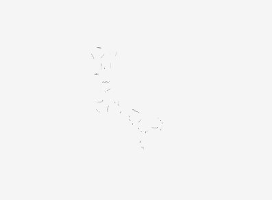 Cc1noc([C@H]2C[C@@H](O)CN2c2cccc(C(=O)N3CCc4cc(C(=O)Nc5c(C)cccc5F)sc4-c4ccccc43)n2)n1